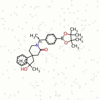 C[C@@H](c1ccc(B2OC(C)(C)C(C)(C)O2)cc1)N1CCC(CC(C)(C)O)(c2ccccc2)CC1=O